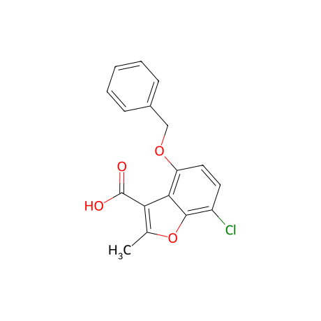 Cc1oc2c(Cl)ccc(OCc3ccccc3)c2c1C(=O)O